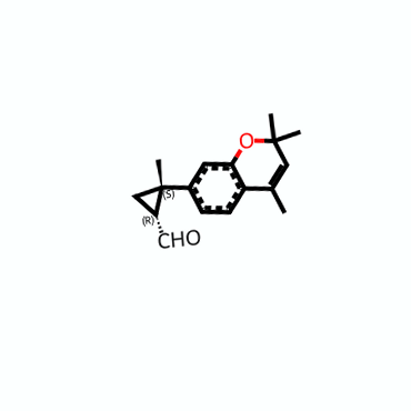 CC1=CC(C)(C)Oc2cc([C@@]3(C)C[C@H]3C=O)ccc21